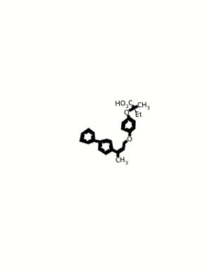 CC[C@](C)(Oc1ccc(OCC=C(C)c2ccc(-c3ccccc3)cc2)cc1)C(=O)O